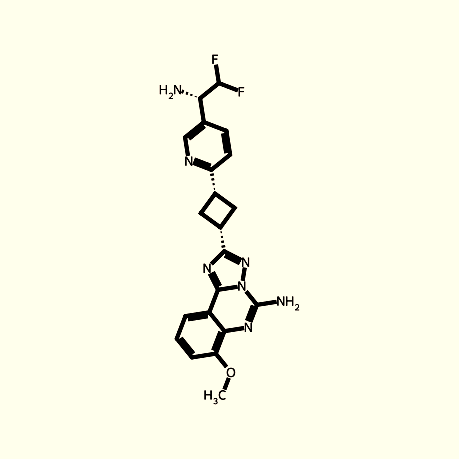 COc1cccc2c1nc(N)n1nc([C@H]3C[C@@H](c4ccc([C@H](N)C(F)F)cn4)C3)nc21